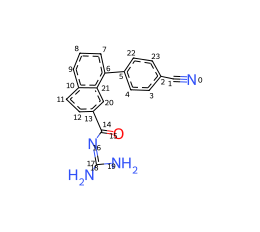 N#Cc1ccc(-c2cccc3ccc(C(=O)N=C(N)N)cc23)cc1